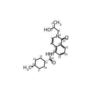 CC(O)Cn1ccc2c(NC(=O)[C@H]3CC[C@H](C)CC3)cccc2c1=O